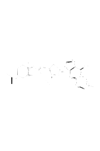 C=C(C)[C@@H]1CC[C@]2(C)S[P@](=S)(O[C@H]3C[C@H](n4cnc5c(=O)[nH]c(/N=C\N(C)C)nc54)O[C@@H]3CC)O[C@H]2C1